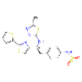 CCCc1nnc(N[C@@H](Cc2ccc(N[SH](=O)=O)cc2)c2csc(-c3cccs3)n2)s1